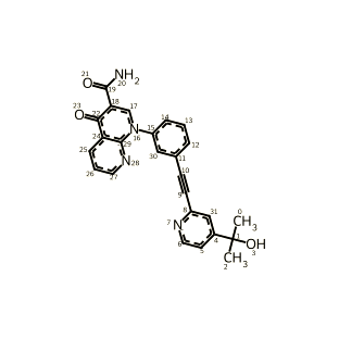 CC(C)(O)c1ccnc(C#Cc2cccc(-n3cc(C(N)=O)c(=O)c4cccnc43)c2)c1